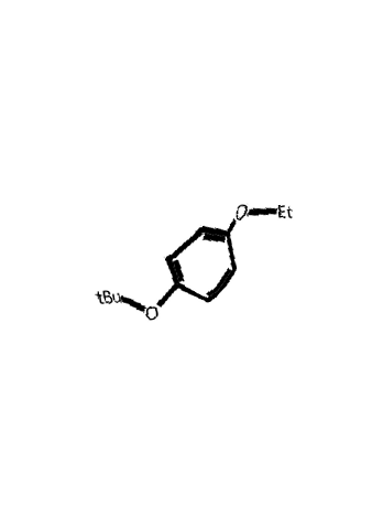 [CH2]COc1ccc(OC(C)(C)C)cc1